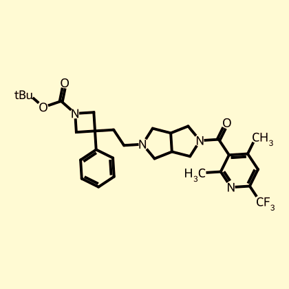 Cc1cc(C(F)(F)F)nc(C)c1C(=O)N1CC2CN(CCC3(c4ccccc4)CN(C(=O)OC(C)(C)C)C3)CC2C1